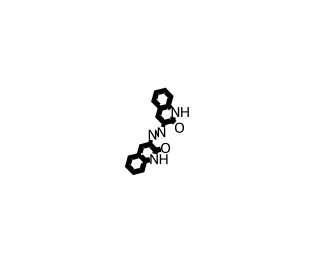 O=c1[nH]c2ccccc2cc1N=Nc1cc2ccccc2[nH]c1=O